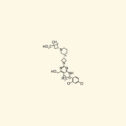 C[C@@H](Nc1nc(N2CC([C@H]3CCCN([C@H]4C[C@](C)(C(=O)O)C4)C3)C2)nc(CO)c1Cl)c1ccc(Cl)cc1Cl